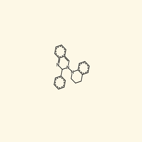 C1=c2ccccc2=NC(c2ccccc2)N1N1CCCc2ccccc21